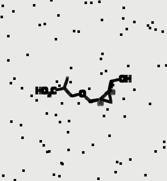 CC(COC[C@@H]1C[C@@H]1CO)C(=O)O